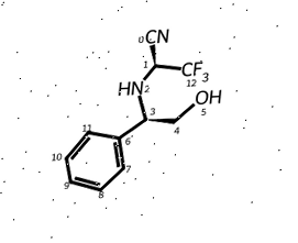 N#C[C@H](N[C@@H](CO)c1ccccc1)C(F)(F)F